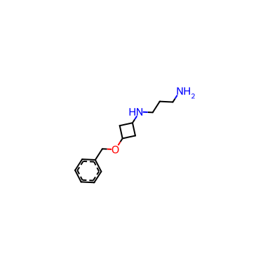 NCCCNC1CC(OCc2ccccc2)C1